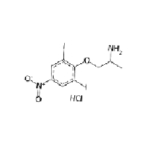 CC(N)COc1c(I)cc([N+](=O)[O-])cc1I.Cl